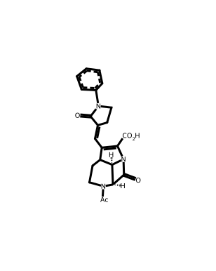 CC(=O)N1CCC2C(/C=C3\CCN(c4ccccc4)C3=O)=C(C(=O)O)N3C(=O)[C@@H]1[C@@H]23